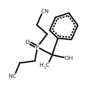 CC(O)(c1ccccc1)P(=O)(CCC#N)CCC#N